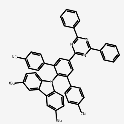 CC(C)(C)c1ccc2c(c1)c1cc(C(C)(C)C)ccc1n2-c1c(-c2ccc(C#N)cc2)cc(-c2nc(-c3ccccc3)nc(-c3ccccc3)n2)cc1-c1ccc(C#N)cc1